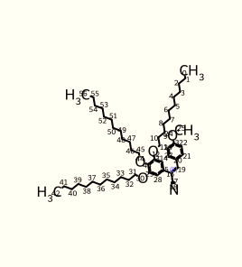 CCCCCCCCCCCCOc1cc(/C(C#N)=C\c2ccc(OC)cc2)cc(OCCCCCCCCCCCC)c1OCCCCCCCCCCCC